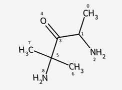 CC(N)C(=O)C(C)(C)N